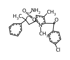 Cc1cc(CC(C)(c2ccccc2)S(N)(=O)=O)n(C)c1C(=O)c1ccc(Cl)cc1